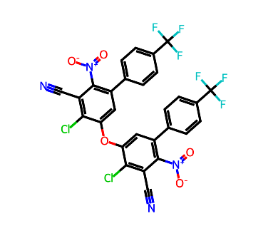 N#Cc1c(Cl)c(Oc2cc(-c3ccc(C(F)(F)F)cc3)c([N+](=O)[O-])c(C#N)c2Cl)cc(-c2ccc(C(F)(F)F)cc2)c1[N+](=O)[O-]